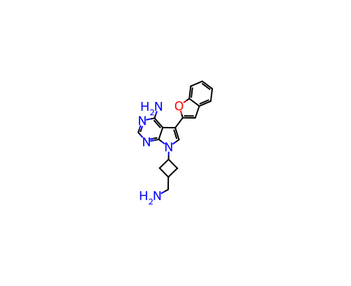 NCC1CC(n2cc(-c3cc4ccccc4o3)c3c(N)ncnc32)C1